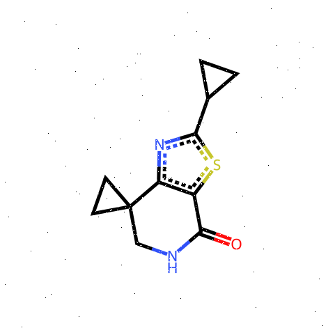 O=C1NCC2(CC2)c2nc(C3CC3)sc21